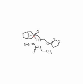 CCOC(=O)C=[N+]=[N-].O=C(O)N1C2CCC1CC(CCCOC1=NOCC1)C2